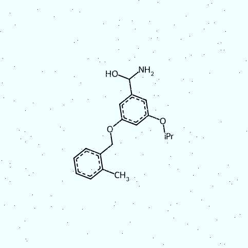 Cc1ccccc1COc1cc(OC(C)C)cc(C(N)O)c1